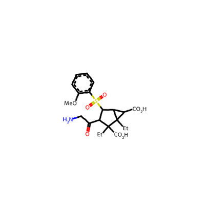 CCC1(C(=O)O)C(C(=O)CN)C(S(=O)(=O)c2ccccc2OC)C2C(C(=O)O)C21CC